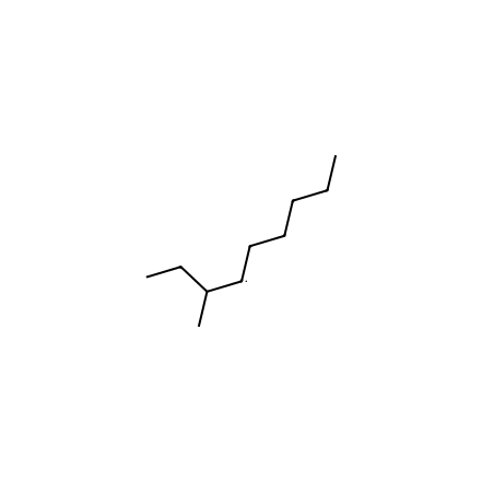 CCCCC[CH]C(C)CC